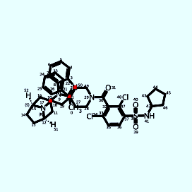 Cc1nc2ccccc2n1C1C[C@H]2CC[C@@H](C1)N2CCC1(c2ccccc2)CCN(C(=O)c2c(Cl)ccc(S(=O)(=O)NC3CCCC3)c2Cl)CC1